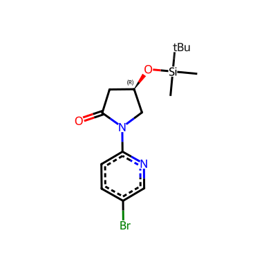 CC(C)(C)[Si](C)(C)O[C@@H]1CC(=O)N(c2ccc(Br)cn2)C1